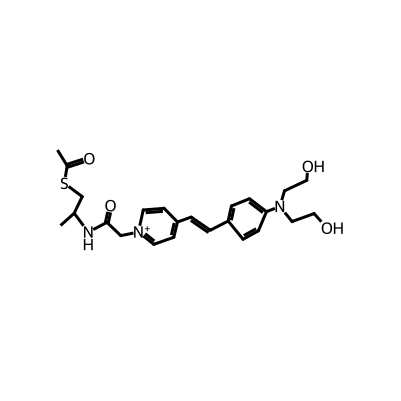 CC(=O)SCC(C)NC(=O)C[n+]1ccc(/C=C/c2ccc(N(CCO)CCO)cc2)cc1